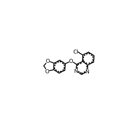 Clc1cccc2ncnc(Oc3ccc4c(c3)OCO4)c12